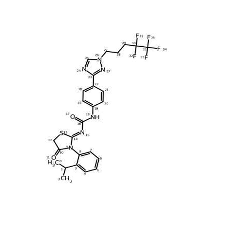 CC(C)c1ccccc1N1C(=O)CSC1=NC(=O)Nc1ccc(-c2ncn(CCCC(F)(F)C(F)(F)F)n2)cc1